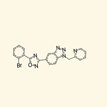 Brc1ccccc1-c1nc(-c2ccc3c(c2)nnn3Cc2ccccn2)no1